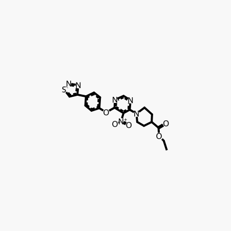 CCOC(=O)C1CCN(c2ncnc(Oc3ccc(-c4csnn4)cc3)c2[N+](=O)[O-])CC1